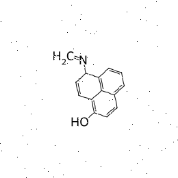 C=NC1C=Cc2c(O)ccc3cccc1c23